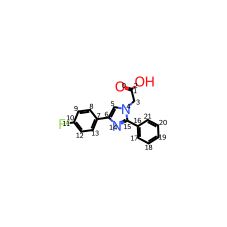 O=C(O)Cn1cc(-c2ccc(F)cc2)nc1-c1ccccc1